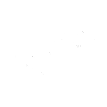 Cc1nc2cnccc2n1Cc1ccc(C(=O)c2c(C(=O)N(C)C)[nH]c3cccc(C#N)c23)cc1.Cl